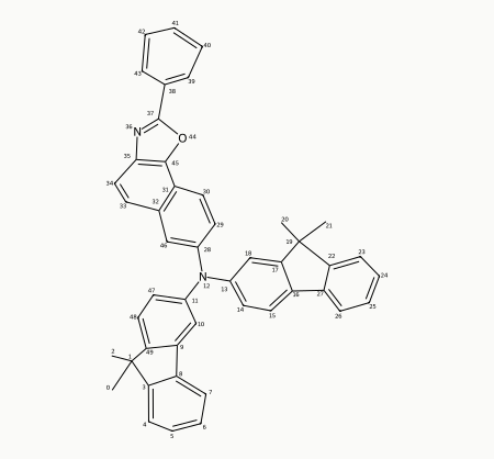 CC1(C)c2ccccc2-c2cc(N(c3ccc4c(c3)C(C)(C)c3ccccc3-4)c3ccc4c(ccc5nc(-c6ccccc6)oc54)c3)ccc21